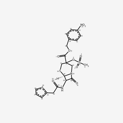 CS(=O)(=O)OC1(C(=O)OCc2ccc([N+](=O)[O-])cc2)CS[C@@H]2C(NC(=O)Cc3cccs3)C(=O)N2C1